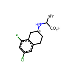 CCCC(N[C@H]1CCc2cc(Cl)cc(F)c2C1)C(=O)O